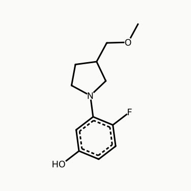 COCC1CCN(c2cc(O)ccc2F)C1